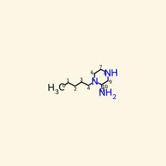 CCCCCN1CCNCC1N